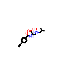 [C]#Cc1ccc(C(=O)NC(CNCC(C)C)C(=O)O)cc1